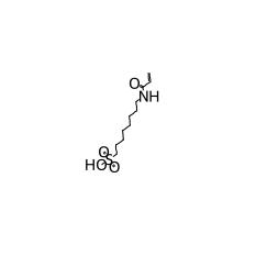 C=CC(=O)NCCCCCCCCS(=O)(=O)O